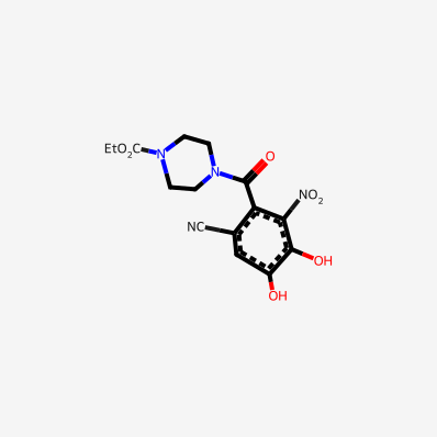 CCOC(=O)N1CCN(C(=O)c2c(C#N)cc(O)c(O)c2[N+](=O)[O-])CC1